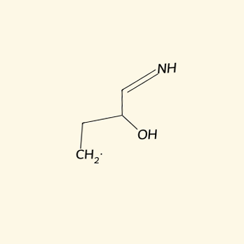 [CH2]CC(O)C=N